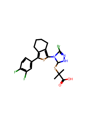 CC(C)(SC1NN=C(Br)N1c1sc(-c2ccc(F)c(F)c2)c2c1CCCC2)C(=O)O